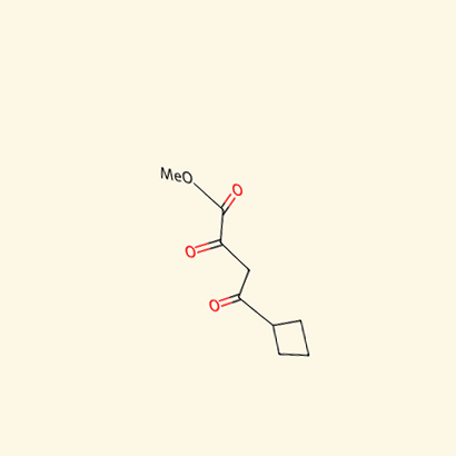 COC(=O)C(=O)CC(=O)C1CCC1